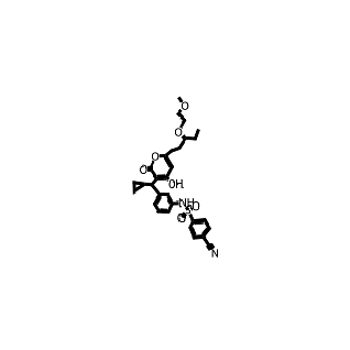 CCC(CCc1cc(O)c(C(c2cccc(NS(=O)(=O)c3ccc(C#N)cc3)c2)C2CC2)c(=O)o1)OCCOC